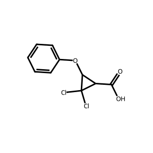 O=C(O)C1C(Oc2ccccc2)C1(Cl)Cl